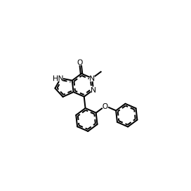 Cn1nc(-c2ccccc2Oc2ccccc2)c2cc[nH]c2c1=O